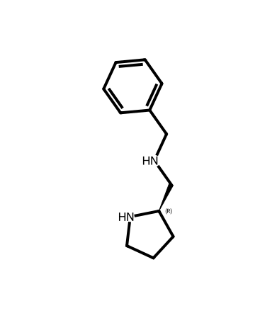 c1ccc(CNC[C@H]2CCCN2)cc1